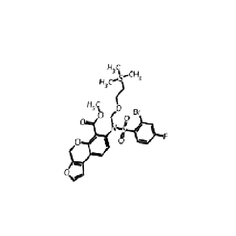 COC(=O)c1c(N(COCCS(C)(C)C)S(=O)(=O)c2ccc(F)cc2Br)ccc2c1OCc1occc1-2